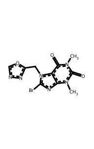 Cn1c(=O)c2c(nc(Br)n2Cc2nnco2)n(C)c1=O